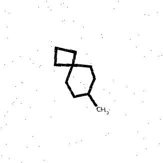 [CH2]C1CCC2(CCC2)CC1